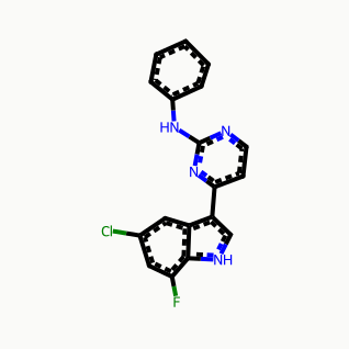 Fc1cc(Cl)cc2c(-c3ccnc(Nc4ccccc4)n3)c[nH]c12